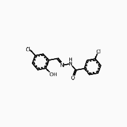 O=C(N/N=C/c1cc(Cl)ccc1O)c1cccc(Cl)c1